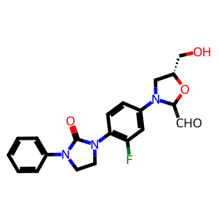 O=CC1O[C@@H](CO)CN1c1ccc(N2CCN(c3ccccc3)C2=O)c(F)c1